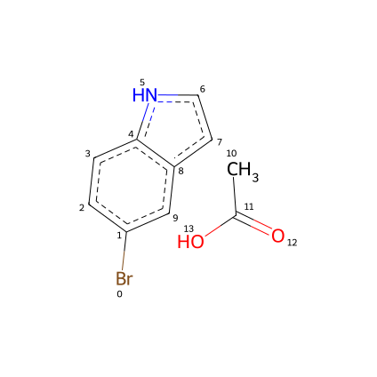 Brc1ccc2[nH]ccc2c1.CC(=O)O